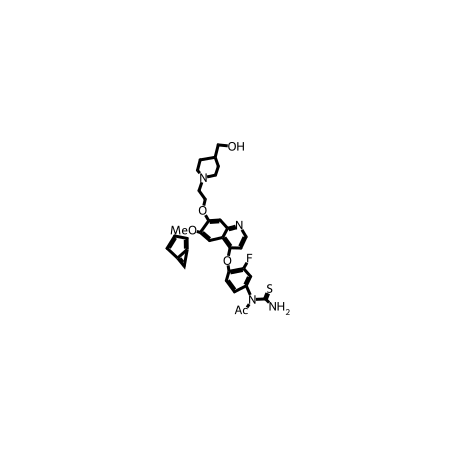 COc1cc2c(Oc3ccc(N(C(C)=O)C(N)=S)cc3F)ccnc2cc1OCCN1CCC(CO)CC1.c1cc2cc-2c1